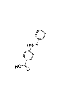 O=C(O)c1ccc(NSc2ccccc2)cc1